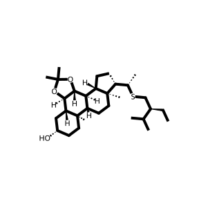 CC[C@H](CS[C@@H](C)[C@H]1CC[C@H]2[C@@H]3[C@H]4OC(C)(C)O[C@@H]4[C@H]4C[C@@H](O)CC[C@]4(C)[C@H]3CC[C@]12C)C(C)C